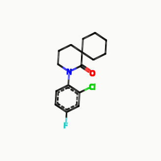 O=C1N(c2ccc(F)cc2Cl)CCCC12CCCCC2